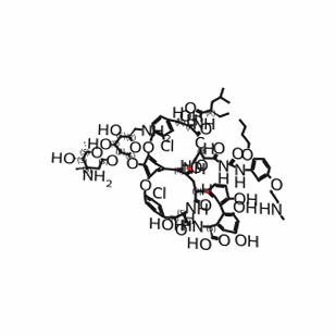 CCCCOc1ccc(OCCNC)cc1NC(=O)NC(=O)C[C@@H]1CC(=O)[C@H](NC(=O)[C@H](CC)CC(C)C)[C@H](O)c2ccc(c(Cl)c2)Oc2cc3cc(c2O[C@@H]2O[C@H](CN)[C@@H](O)[C@H](O)[C@H]2O[C@H]2C[C@](C)(N)[C@H](O)[C@H](C)O2)Oc2ccc(cc2Cl)[C@@H](O)[C@@H]2NC(=O)[C@H](CC(=O)[C@@H]3NC1=O)c1ccc(O)c(c1)-c1c(O)cc(O)cc1[C@@H](C(=O)O)NC2=O